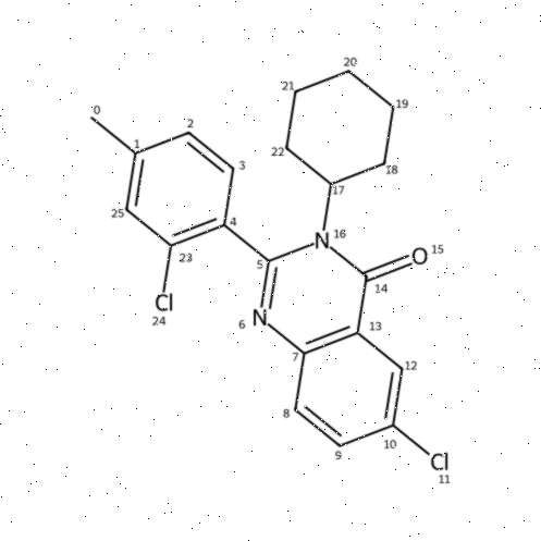 Cc1ccc(-c2nc3ccc(Cl)cc3c(=O)n2C2CCCCC2)c(Cl)c1